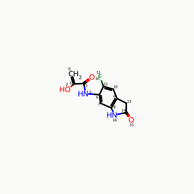 C=C(O)C(=O)Nc1cc2c(cc1F)CC(=O)N2